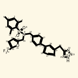 Cc1cc(C)c(S(=O)(=O)N(Cc2ccc(-c3cccc(Cc4nn[nH]n4)c3)cc2)Cc2ccc(C(F)(F)F)o2)c(C)c1